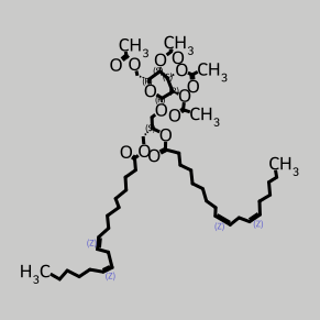 CCCCC/C=C\C/C=C\CCCCCCCC(=O)OC[C@H](CO[C@@H]1O[C@H](COC(C)=O)[C@H](OC(C)=O)[C@H](OC(C)=O)[C@H]1OC(C)=O)OC(=O)CCCCCCC/C=C\C/C=C\CCCCC